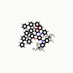 CC(C)(C)c1ccc2c3ccc(C(C)(C)C)cc3n(-c3cc4c5c(c3)N(c3ccccc3-c3ccccc3)c3ccc([Si](c6ccccc6)(c6ccccc6)c6cccc(-c7ccccc7)c6)cc3B5c3ccc([Si](c5ccccc5)(c5ccccc5)c5cccc(-c6ccccc6)c5)cc3O4)c2c1